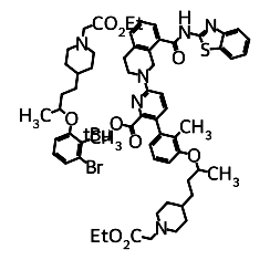 CCOC(=O)CN1CCC(CCC(C)Oc2cccc(-c3ccc(N4CCc5cccc(C(=O)Nc6nc7ccccc7s6)c5C4)nc3C(=O)OC(C)(C)C)c2C)CC1.CCOC(=O)CN1CCC(CCC(C)Oc2cccc(Br)c2C)CC1